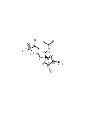 B[C@@H]1O[C@](CCOP(O)(=S)C(C)C)(COC(C)C)C[C@H]1O